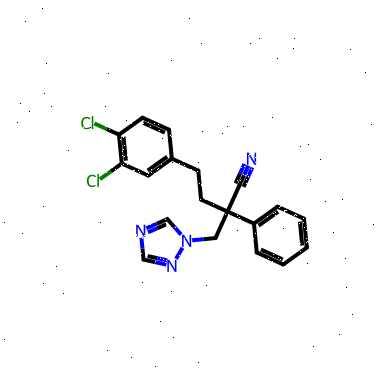 N#CC(CCc1ccc(Cl)c(Cl)c1)(Cn1cncn1)c1ccccc1